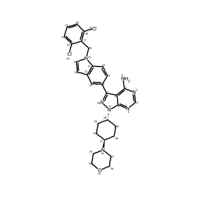 Nc1ncnc2c1c(-c1ccc3c(ccn3Cc3c(Cl)cccc3Cl)c1)nn2[C@H]1CC[C@H](N2CCOCC2)CC1